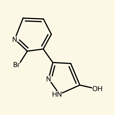 Oc1cc(-c2cccnc2Br)n[nH]1